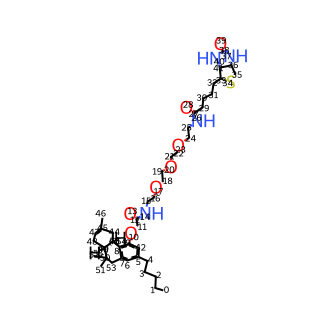 CCCCCc1cc2c(c(OCC(=O)NCCOCCOCCOCCNC(=O)CCCCC3SCC4NC(=O)NC43)c1)[C@@H]1CC(C)=CC[C@H]1C(C)(C)C2